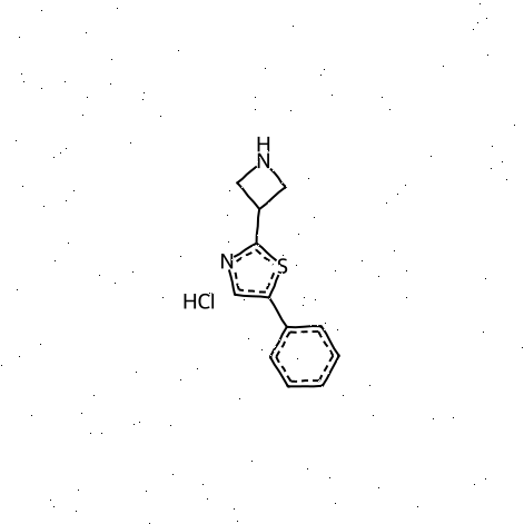 Cl.c1ccc(-c2cnc(C3CNC3)s2)cc1